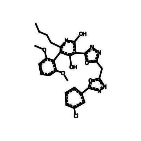 CCCCc1nc(O)c(-c2nnc(Cc3nnc(-c4cccc(Cl)c4)o3)o2)c(O)c1-c1c(OC)cccc1OC